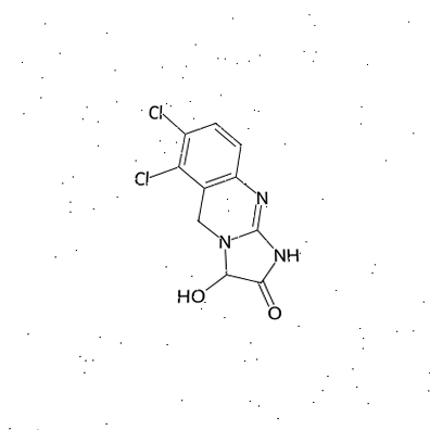 O=C1NC2=Nc3ccc(Cl)c(Cl)c3CN2C1O